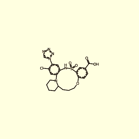 O=C(O)c1ccc2c(c1)S(=O)(=O)Nc1cc(-n3cnnn3)c(Cl)cc1N1CCCCC1CCCO2